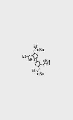 CCCCC(CC)Cc1ccc(-c2ccc(CC(CC)CCCC)c(CC(CC)CCCC)c2)cc1CC(CC)CCCC